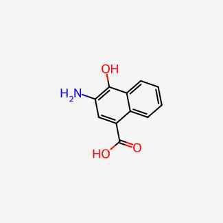 Nc1cc(C(=O)O)c2ccccc2c1O